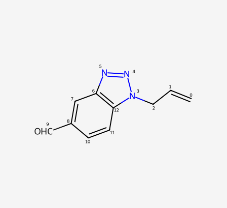 C=CCn1nnc2cc(C=O)ccc21